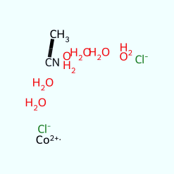 CC#N.O.O.O.O.O.O.[Cl-].[Cl-].[Co+2]